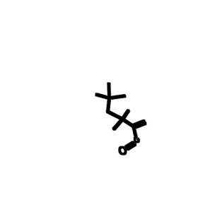 C=C(P=O)C(C)(C)CC(C)(C)C